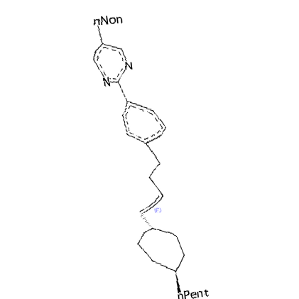 CCCCCCCCCc1cnc(-c2ccc(CC/C=C/[C@H]3CC[C@H](CCCCC)CC3)cc2)nc1